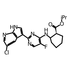 CC(C)OC(=O)[C@H]1CCCCC1Nc1nc(-c2c[nH]c3ncc(Cl)cc23)ncc1F